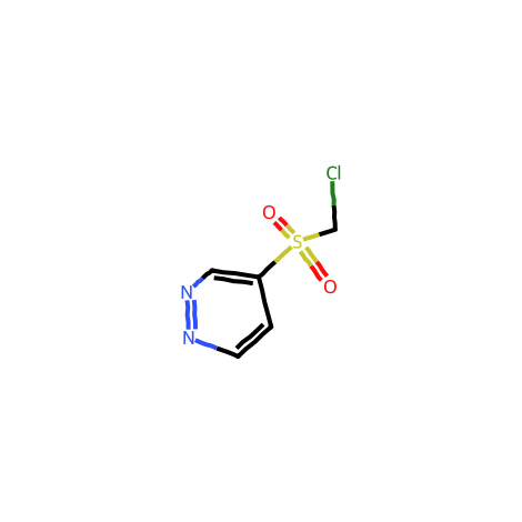 O=S(=O)(CCl)c1ccnnc1